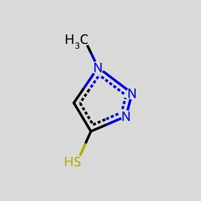 Cn1cc(S)nn1